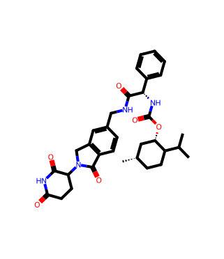 CC(C)C1CC[C@H](C)C[C@@H]1OC(=O)N[C@H](C(=O)NCc1ccc2c(c1)CN(C1CCC(=O)NC1=O)C2=O)c1ccccc1